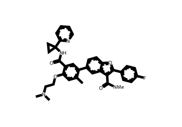 CNC(=O)c1c(-c2ccc(F)cc2)oc2ccc(-c3cc(C(=O)NC4(c5ccccn5)CC4)c(OCCN(C)C)cc3C)cc12